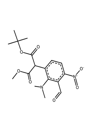 COC(=O)C(C(=O)OC(C)(C)C)c1ccc([N+](=O)[O-])c(C=O)c1N(C)C